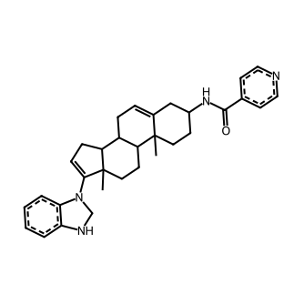 CC12CCC(NC(=O)c3ccncc3)CC1=CCC1C2CCC2(C)C(N3CNc4ccccc43)=CCC12